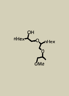 CCCCCCC(O)COC(CCCCCC)COC(C)COC